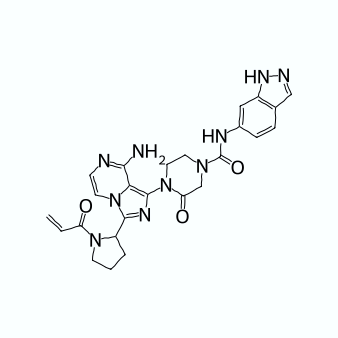 C=CC(=O)N1CCCC1c1nc(N2CCN(C(=O)Nc3ccc4cn[nH]c4c3)CC2=O)c2c(N)nccn12